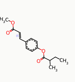 CCC(C)C(=O)Oc1ccc(/C=C/C(=O)OC)cc1